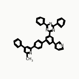 Cc1cc(-c2ccccc2)cc(-c2ccc(-c3cc(-c4cccnc4)cc(-c4nc(-c5ccccc5)nc(-c5ccccc5)n4)c3)cc2)n1